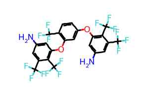 Nc1cc(Oc2ccc(C(F)(F)F)c(Oc3cc(N)cc(C(F)(F)F)c3C(F)(F)F)c2)c(C(F)(F)F)c(C(F)(F)F)c1